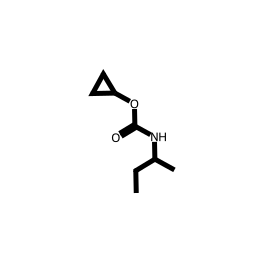 CCC(C)NC(=O)OC1CC1